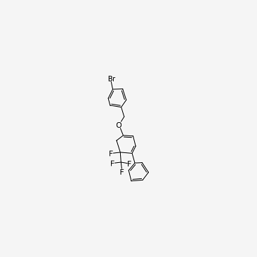 FC(F)(F)C1(F)CC(OCc2ccc(Br)cc2)=CC=C1c1ccccc1